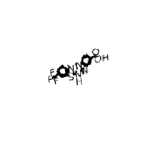 Cn1c(Nc2nc3ccc(C(F)(F)F)cc3s2)nc2cc(C(=O)O)ccc21